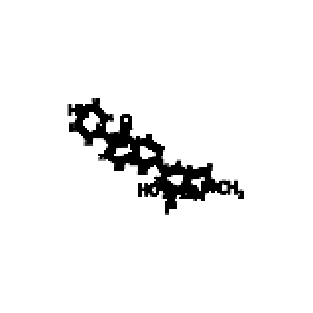 Cn1cc2cc(-c3ccn4c(=O)c(N5CCNCC5)ccc4c3)c(O)c(F)c2n1